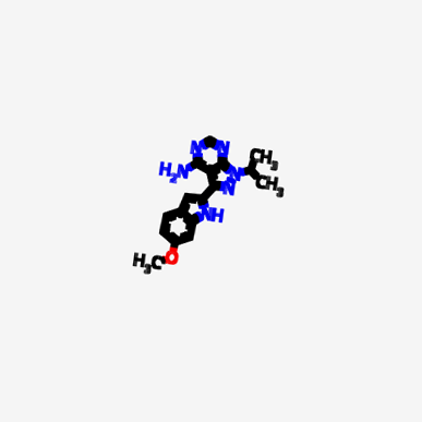 COc1ccc2cc(-c3nn(C(C)C)c4ncnc(N)c34)[nH]c2c1